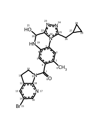 Cc1cc2c(cc1C(=O)N1CCc3cc(Br)cnc31)NC(O)c1nnc(CC3CC3)n1-2